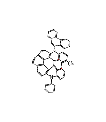 N#Cc1ccc(N(c2cc3ccccc3c3ccccc23)c2ccc3ccc4ccc(N(c5ccccc5)c5ccccc5)c5c6ccccc6c2c3c45)cc1